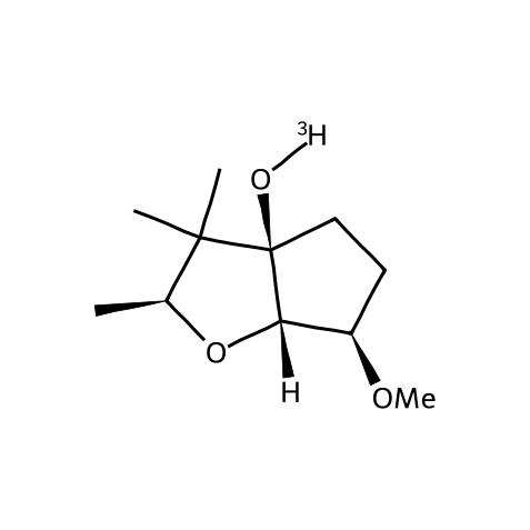 [3H]O[C@@]12CC[C@@H](OC)[C@@H]1O[C@@H](C)C2(C)C